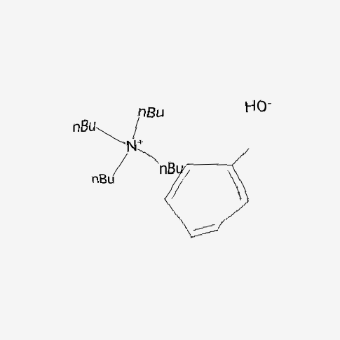 CCCC[N+](CCCC)(CCCC)CCCC.Cc1ccccc1.[OH-]